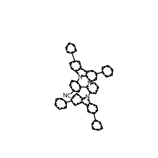 N#Cc1ccc(-n2c3ccc(-c4ccccc4)cc3c3cc(-c4ccccc4)ccc32)c(-c2ncccc2-n2c3ccc(-c4ccccc4)cc3c3cc(-c4ccccc4)ccc32)c1